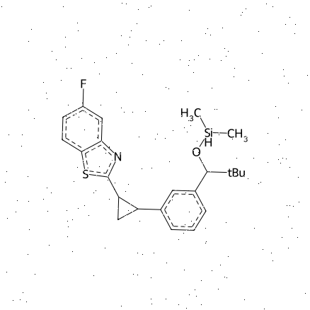 C[SiH](C)OC(c1cccc(C2CC2c2nc3cc(F)ccc3s2)c1)C(C)(C)C